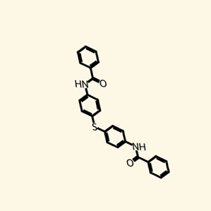 O=C(Nc1ccc(Sc2ccc(NC(=O)c3ccccc3)cc2)cc1)c1ccccc1